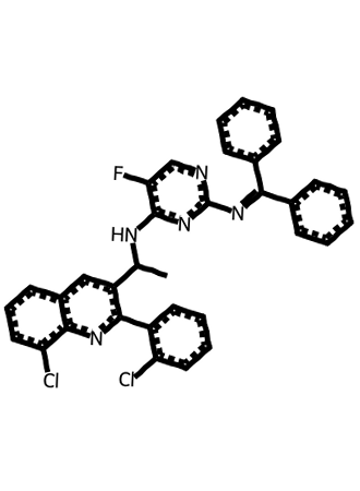 CC(Nc1nc(N=C(c2ccccc2)c2ccccc2)ncc1F)c1cc2cccc(Cl)c2nc1-c1ccccc1Cl